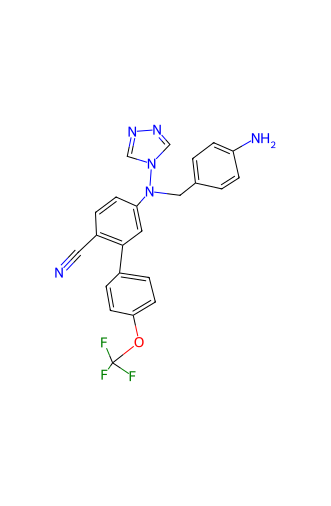 N#Cc1ccc(N(Cc2ccc(N)cc2)n2cnnc2)cc1-c1ccc(OC(F)(F)F)cc1